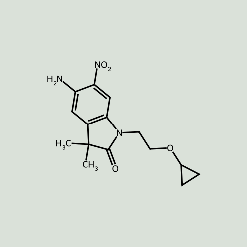 CC1(C)C(=O)N(CCOC2CC2)c2cc([N+](=O)[O-])c(N)cc21